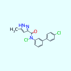 Cc1cc(C(=O)N(Cl)c2cccc(-c3ccc(Cl)cc3)c2)n[nH]1